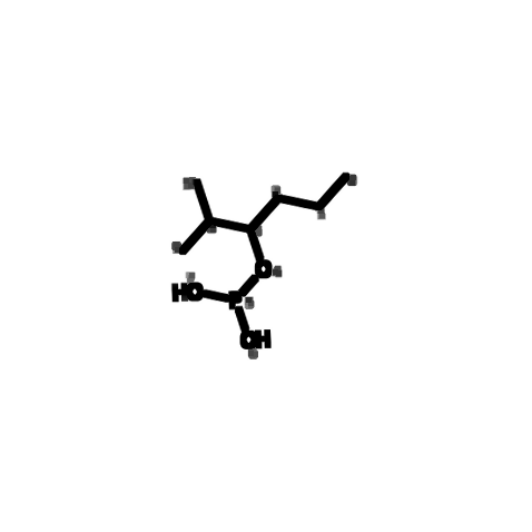 CCCC(OP(O)O)C(C)C